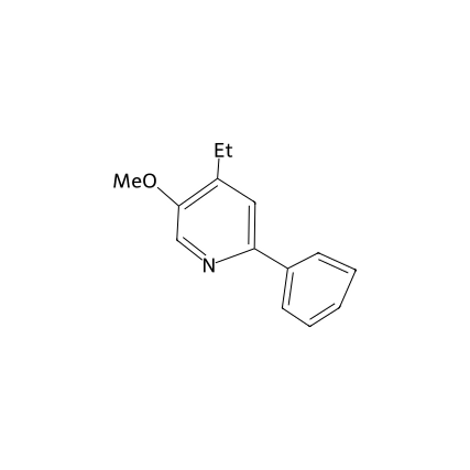 CCc1cc(-c2ccccc2)ncc1OC